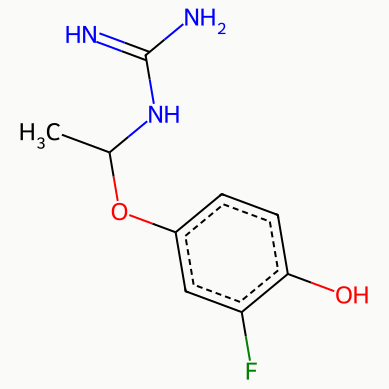 CC(NC(=N)N)Oc1ccc(O)c(F)c1